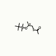 CC(=O)SC[C@H](C)O[Si](C)(C)C(C)(C)C